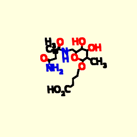 CC1C(OCCCCC(=O)O)OC(CNC(=O)[C@H](C)CC(N)=O)C(O)C1O